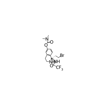 CN(C)C(=O)Oc1ccc2c(c1)CCN[C@]2(CCBr)NC(=O)C(F)(F)F